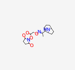 C/C(=N\OCC(=O)ON1C(=O)CCC1=O)C1=CCCC2CCC1N2